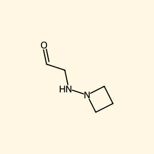 O=CCNN1CCC1